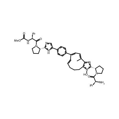 COC(=O)N[C@H](C(=O)N1CCC[C@H]1c1ncc(-c2ccc(C3=C/C=C(\C)c4nc([C@@H]5CCCN5C(=O)[C@@H](N)C(C)C)n(O)c4CCC\C=C\3)cc2)[nH]1)C(C)C